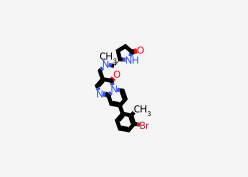 Cc1c(Br)cccc1-c1ccn2c(=O)c(CN(C)C[C@@H]3CCC(=O)N3)cnc2c1